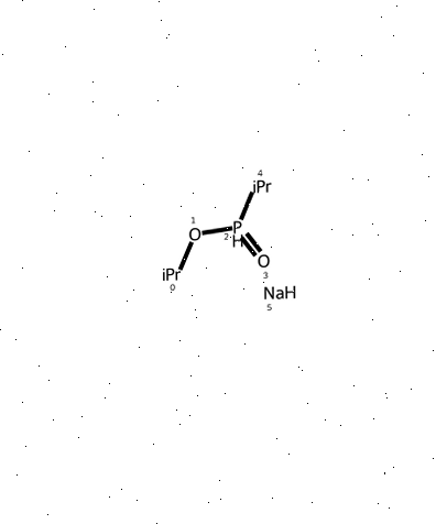 CC(C)O[PH](=O)C(C)C.[NaH]